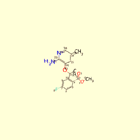 COC(=O)c1ccc(F)cc1C(C)Oc1cc(C)cnc1N